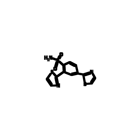 NS(=O)(=O)c1ccc(-c2nccs2)cc1-c1nccs1